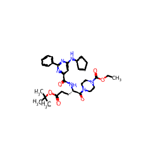 CCOC(=O)N1CCN(C(=O)[C@H](CCC(=O)OC(C)(C)C)NC(=O)c2cc(NC3CCCC3)nc(-c3ccccc3)n2)CC1